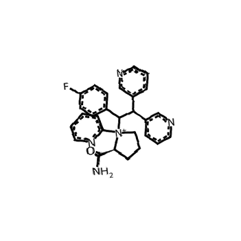 NC(=O)[C@@H]1CCC[N+]1(c1ccccn1)C(c1ccc(F)cc1)C(c1cccnc1)c1cccnc1